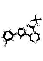 CC(C)(C)OC(=O)N1CCOCC1c1cn(-c2cccc(I)c2)cn1